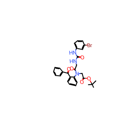 CC(C)(C)OC(=O)CN(C(=O)CNC(=O)Nc1cccc(Br)c1)c1ccccc1C(=O)c1ccccc1